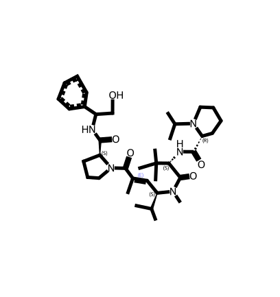 C/C(=C\[C@H](C(C)C)N(C)C(=O)[C@@H](NC(=O)[C@H]1CCCCN1C(C)C)C(C)(C)C)C(=O)N1CCC[C@H]1C(=O)NC(CO)c1ccccc1